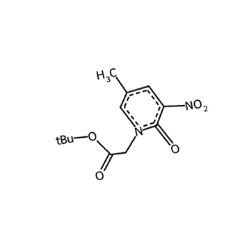 Cc1cc([N+](=O)[O-])c(=O)n(CC(=O)OC(C)(C)C)c1